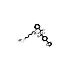 [2H]C([2H])(c1ccc(-c2ccco2)cc1)N(C(=O)c1ccccc1OCCCCCC(=O)O)C(C)C